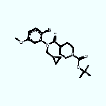 COc1ccc(Br)c(N(CC2CC2)C(=O)C2CCN(C(=O)OC(C)(C)C)CC2)c1